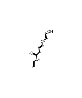 C=COC(=O)CC=COC=CO